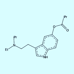 CCN(CCc1c[nH]c2ccc(OC(=O)C(C)C)cc12)C(C)C